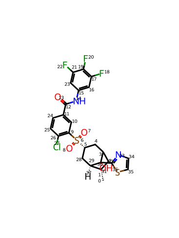 C[C@H]1CC2C[C@@H](S(=O)(=O)c3cc(C(=O)Nc4cc(F)c(F)c(F)c4)ccc3Cl)C[C@H]1[C@@]2(O)c1nccs1